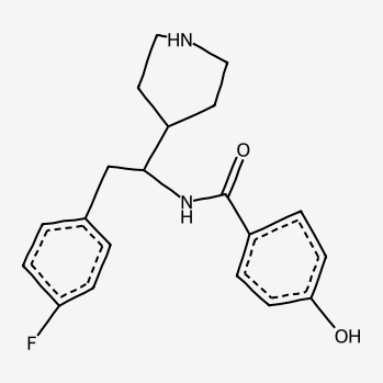 O=C(NC(Cc1ccc(F)cc1)C1CCNCC1)c1ccc(O)cc1